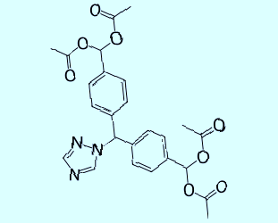 CC(=O)OC(OC(C)=O)c1ccc(C(c2ccc(C(OC(C)=O)OC(C)=O)cc2)n2cncn2)cc1